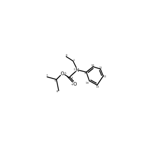 CCN(C(=O)OC(C)C)c1ccccc1